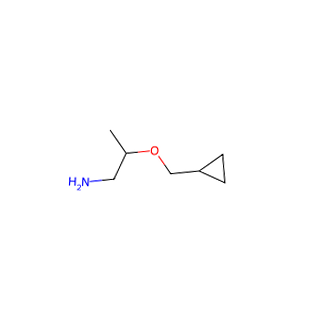 CC(CN)OCC1CC1